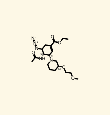 CCOC(=O)C1=C[C@@H](N2CCC[C@H](OCCOC)C2)[C@H](NC(C)=O)C(N=[N+]=[N-])C1